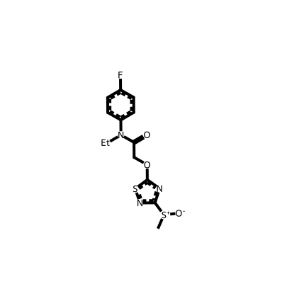 CCN(C(=O)COc1nc([S+](C)[O-])ns1)c1ccc(F)cc1